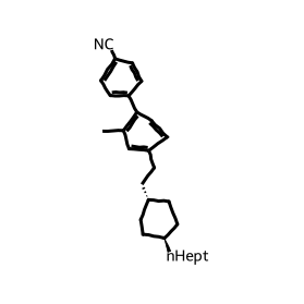 CCCCCCC[C@H]1CC[C@H](CCc2ccc(-c3ccc(C#N)cc3)c(C)c2)CC1